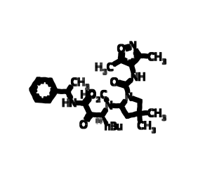 CCCC[C@@H](C(=O)C(=O)NC(C)c1ccccc1)N(C(=O)O)C1CC(C)(C)CN1C(=O)Nc1c(C)noc1C